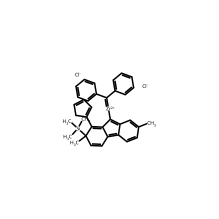 Cc1ccc2c(c1)=[C]([Zr+2]=[C](c1ccccc1)c1ccccc1)C1=C(C3=CC=CC3)C(C)([Si](C)(C)C)C=CC=21.[Cl-].[Cl-]